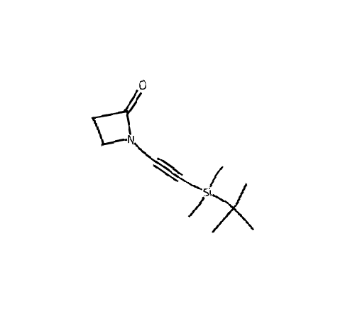 CC(C)(C)[Si](C)(C)C#CN1CCC1=O